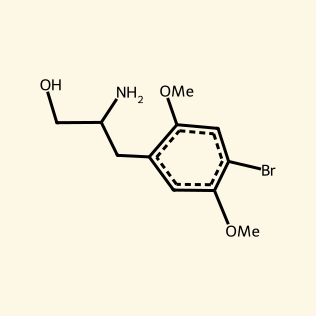 COc1cc(CC(N)CO)c(OC)cc1Br